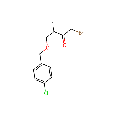 CC(COCc1ccc(Cl)cc1)C(=O)CBr